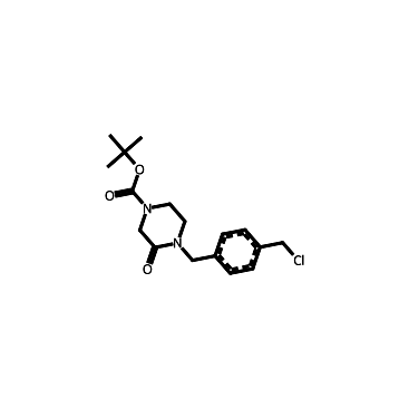 CC(C)(C)OC(=O)N1CCN(Cc2ccc(CCl)cc2)C(=O)C1